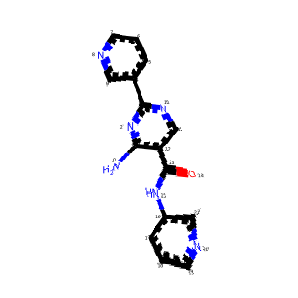 Nc1nc(-c2cccnc2)ncc1C(=O)Nc1cccnc1